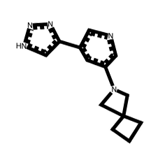 c1ncc(N2CC3(CCC3)C2)cc1-c1c[nH]nn1